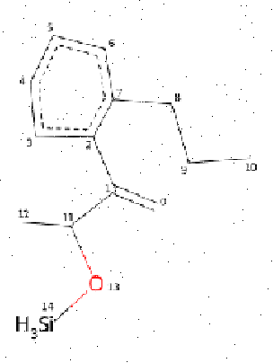 C=C(c1ccccc1CCC)C(C)O[SiH3]